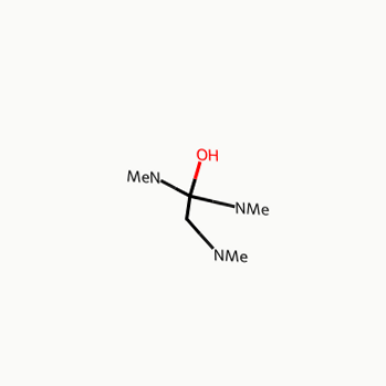 CNCC(O)(NC)NC